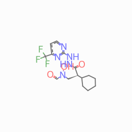 O=CN(O)C[C@@H](C(=O)NNc1nccc(C(F)(F)F)n1)C1CCCCC1